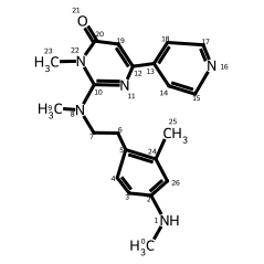 CNc1ccc(CCN(C)c2nc(-c3ccncc3)cc(=O)n2C)c(C)c1